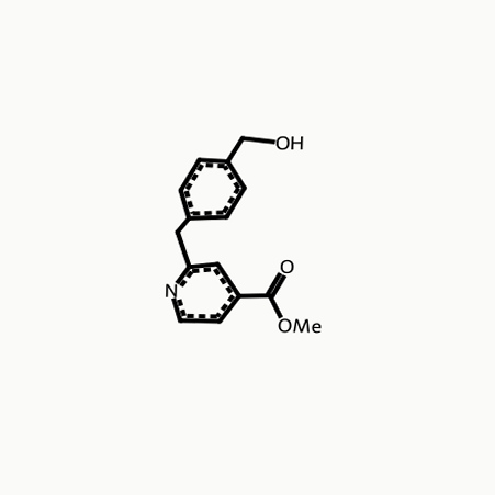 COC(=O)c1ccnc(Cc2ccc(CO)cc2)c1